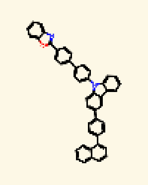 c1ccc2c(-c3ccc(-c4ccc5c(c4)c4ccccc4n5-c4ccc(-c5ccc(-c6nc7ccccc7o6)cc5)cc4)cc3)cccc2c1